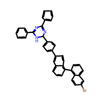 Brc1ccc2c(-c3cccc4cc(-c5ccc(C6N=C(c7ccccc7)N=C(c7ccccc7)N6)cc5)ccc34)cccc2c1